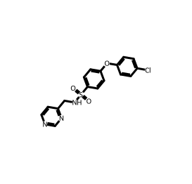 O=S(=O)(NCc1ccncn1)c1ccc(Oc2ccc(Cl)cc2)cc1